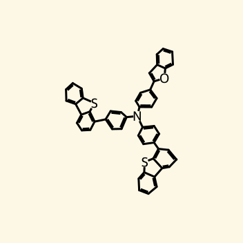 c1ccc2oc(-c3ccc(N(c4ccc(-c5cccc6c5sc5ccccc56)cc4)c4ccc(-c5cccc6c5sc5ccccc56)cc4)cc3)cc2c1